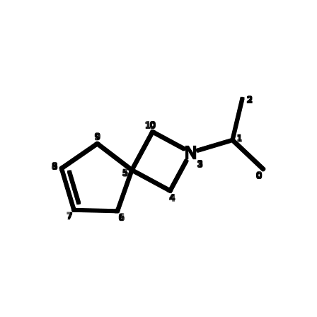 CC(C)N1CC2(CC=CC2)C1